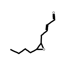 CCCCC1OC1CC=CC=O